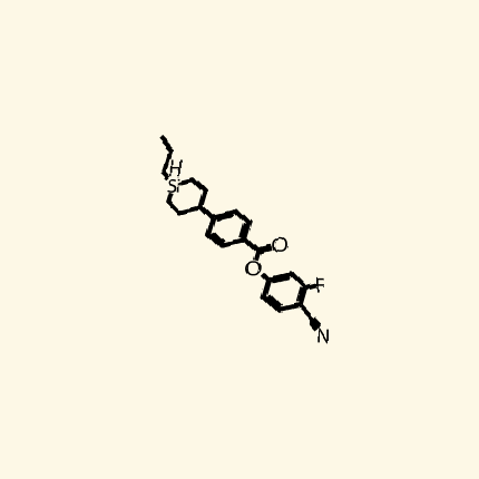 CCC[SiH]1CCC(c2ccc(C(=O)Oc3ccc(C#N)c(F)c3)cc2)CC1